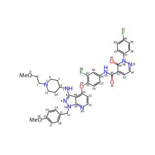 COCCN1CCC(Nc2nn(Cc3ccc(OC)cc3)c3nccc(Oc4ccc(NC(=O)c5ccnn(-c6ccc(F)cc6)c5=O)cc4F)c23)CC1